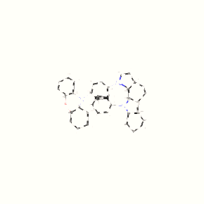 c1ccc(-n2c3ccccc3c3ccc4ccn(-c5ccc(N6c7ccccc7Oc7ccccc76)cc5)c4c32)cc1